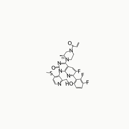 C=CC(=O)N1CCN(c2nc(=O)n(-c3c(SC)ccnc3CC)c3nc(-c4c(O)ccc(F)c4F)c(F)cc23)[C@@H](C)C1